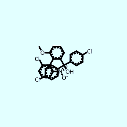 COc1cccc(C(O)(c2ccc(Cl)cc2)c2ccc(Cl)cc2)c1-c1c(Cl)cccc1[N+](=O)[O-]